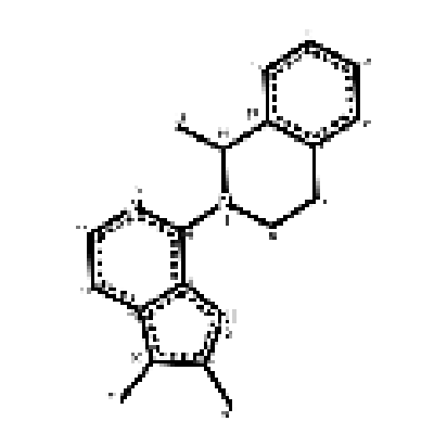 Cc1[nH]c2c(N3CCc4ccccc4C3C)nccc2c1C